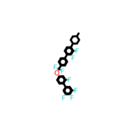 CC1CCC(c2ccc(-c3ccc(C(F)(F)Oc4ccc(-c5cc(F)c(F)c(F)c5)c(F)c4)cc3)c(F)c2F)CC1